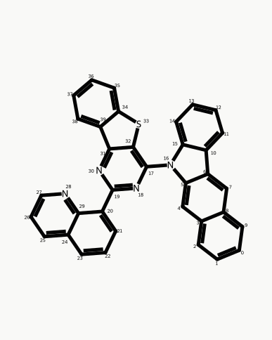 c1ccc2cc3c(cc2c1)c1ccccc1n3-c1nc(-c2cccc3cccnc23)nc2c1sc1ccccc12